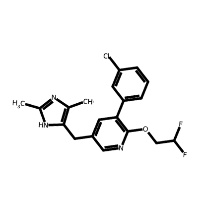 [CH]c1nc(C)[nH]c1Cc1cnc(OCC(F)F)c(-c2cccc(Cl)c2)c1